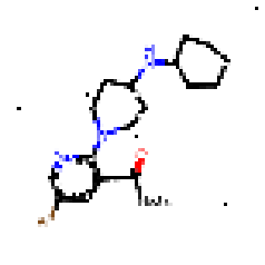 CNC(=O)c1cc(Br)cnc1N1CCC(NC2CCCCC2)CC1